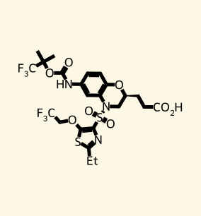 CCc1nc(S(=O)(=O)N2C[C@H](CCC(=O)O)Oc3ccc(NC(=O)OC(C)(C)C(F)(F)F)cc32)c(OCC(F)(F)F)s1